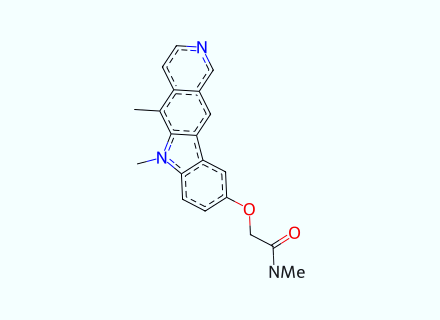 CNC(=O)COc1ccc2c(c1)c1cc3cnccc3c(C)c1n2C